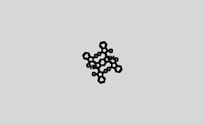 O=C1C(=c2[nH]c(=C3C(=O)c4ccccc4C3=O)c3cc4c(=C5C(=O)c6ccccc6C5=O)[nH]c(=C5C(=O)c6ccccc6C5=O)c4cc23)C(=O)c2ccccc21